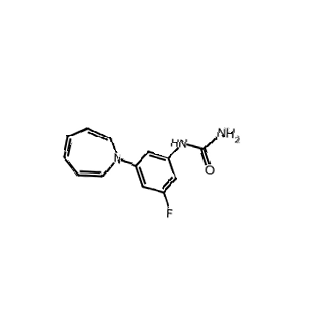 NC(=O)Nc1cc(F)cc(N2C=CC=CC=C2)c1